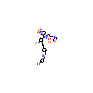 CS(=O)(=O)N1CCc2c(c(-c3ccc(Cl)c(C#Cc4ccc(CNCc5ccc(Cl)cc5)cc4)c3)nn2C[C@@H](O)CN2CCOCC2)C1